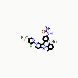 Cc1cccc(OCC(C)C)c1-n1nc2c(c1-c1ccc(NC(=O)N(C)C)cc1)CN(c1ncc(C(F)(F)F)cc1F)CC2